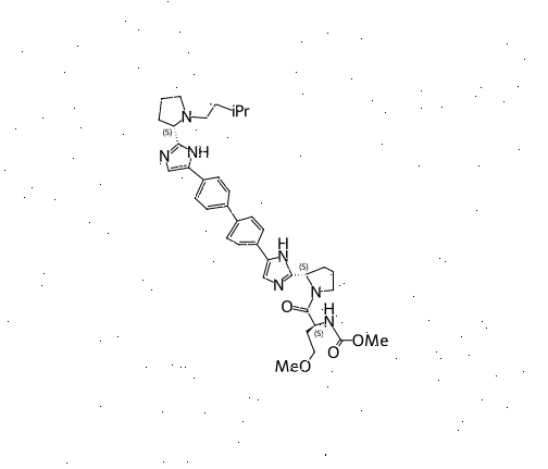 COCC[C@H](NC(=O)OC)C(=O)N1CCC[C@H]1c1ncc(-c2ccc(-c3ccc(-c4cnc([C@@H]5CCCN5C[CH]C(C)C)[nH]4)cc3)cc2)[nH]1